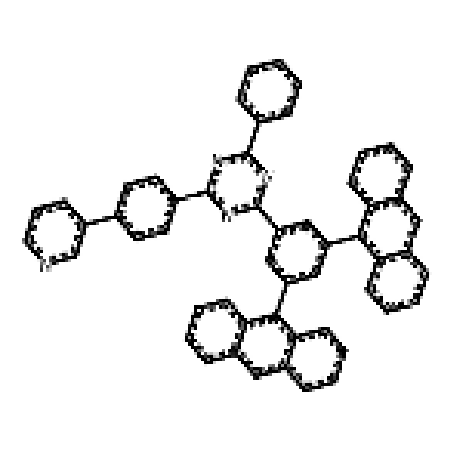 c1ccc(-c2nc(-c3ccc(-c4cccnc4)cc3)nc(-c3cc(-c4c5ccccc5cc5ccccc45)cc(-c4c5ccccc5cc5ccccc45)c3)n2)cc1